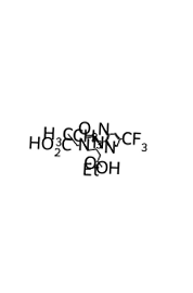 CCOC(O)CC1CN(CC(C)(C)C(=O)O)CCN1c1ncc(C(F)(F)F)cc1[N+](=O)[O-]